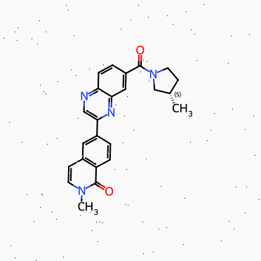 C[C@H]1CCN(C(=O)c2ccc3ncc(-c4ccc5c(=O)n(C)ccc5c4)nc3c2)C1